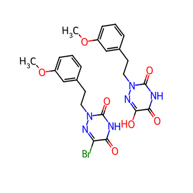 COc1cccc(CCn2nc(Br)c(=O)[nH]c2=O)c1.COc1cccc(CCn2nc(O)c(=O)[nH]c2=O)c1